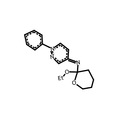 CCOC1(N=c2ccn(-c3ccccc3)nc2)CCCCO1